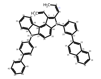 C=Cc1c(/C=C\C)n(-c2cccc(-c3ccc4ccccc4c3)c2)c2ccc3c(c4ccccc4n3-c3ccc(-c4ccccc4)cc3)c12